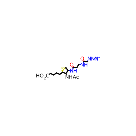 CC(=O)NC1C(NC(=O)CCNC(=O)CN=[N+]=[N-])CSC1CCCCC(=O)O